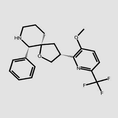 COc1ccc(C(F)(F)F)nc1[C@@H]1CO[C@]2(CCCN[C@H]2c2ccccc2)C1